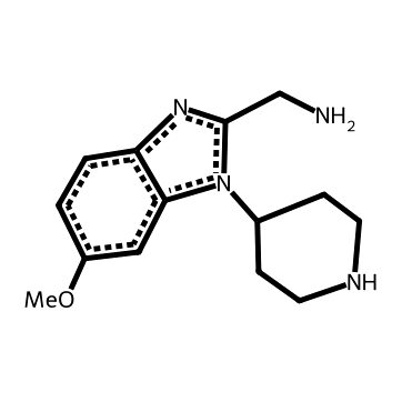 COc1ccc2nc(CN)n(C3CCNCC3)c2c1